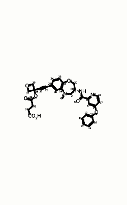 CN1C[C@@H](NC(=O)c2cc(Oc3ccccc3)ccn2)COc2ccc(C#CC3(OC(=O)CCC(=O)O)COC3)cc21